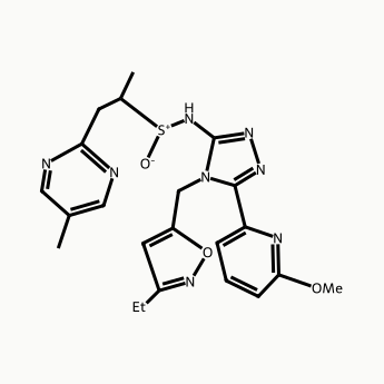 CCc1cc(Cn2c(N[S+]([O-])C(C)Cc3ncc(C)cn3)nnc2-c2cccc(OC)n2)on1